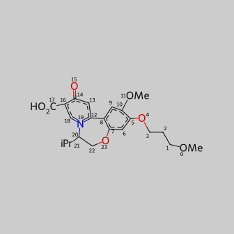 COCCCOc1cc2c(cc1OC)-c1cc(=O)c(C(=O)O)cn1C(C(C)C)CO2